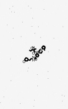 CCc1onc(C)c1C(=O)Nc1cc(C(=O)NCCCC2CCCC(=O)C2)ccc1N1CCN(c2ccccc2C)CC1